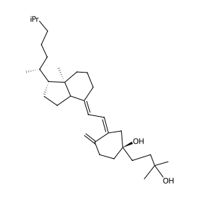 C=C1CC[C@@](O)(CCC(C)(C)O)C/C1=C/C=C1CCC[C@@]2(C)C1CC[C@@H]2[C@H](C)CCCC(C)C